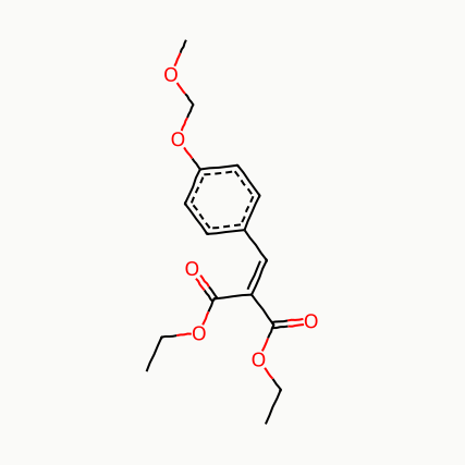 CCOC(=O)C(=Cc1ccc(OCOC)cc1)C(=O)OCC